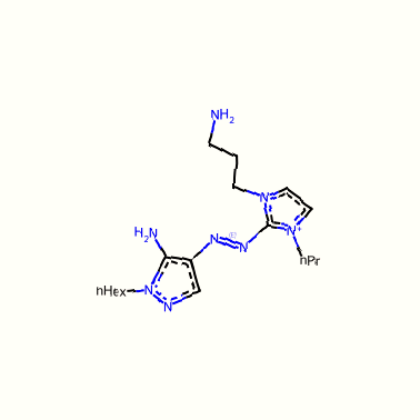 CCCCCCn1ncc(/N=N/c2n(CCCN)cc[n+]2CCC)c1N